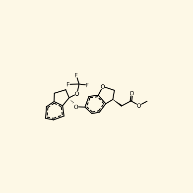 COC(=O)C[C@@H]1COc2cc(O[C@@]3(OC(F)(F)F)CCc4ccccc43)ccc21